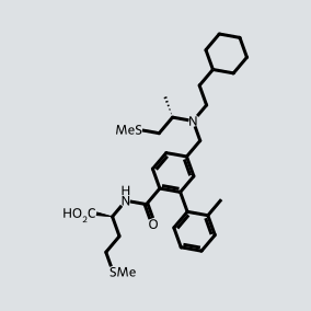 CSCC[C@H](NC(=O)c1ccc(CN(CCC2CCCCC2)[C@@H](C)CSC)cc1-c1ccccc1C)C(=O)O